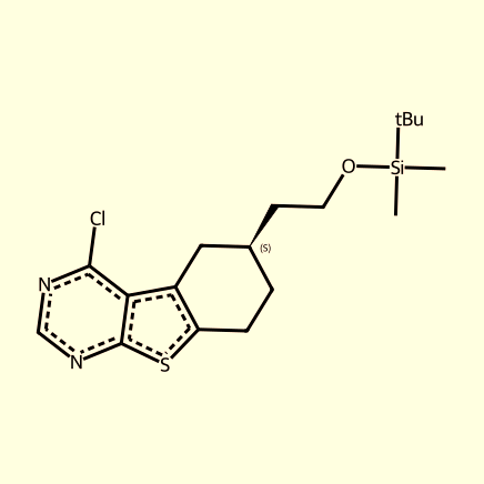 CC(C)(C)[Si](C)(C)OCC[C@H]1CCc2sc3ncnc(Cl)c3c2C1